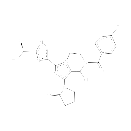 CC1c2c(N3CCCC3=O)nc(-c3nc([C@H](C)O)ns3)n2CCN1C(=O)c1ccc(F)cc1